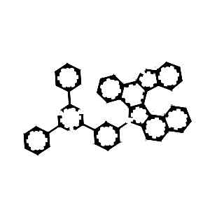 c1ccc(-c2nc(-c3ccccc3)nc(-c3cccc(-n4c5ccc6ccccc6c5c5c6c7ccccc7sc6c6ccccc6c54)c3)n2)cc1